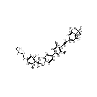 CCCCc1cc(F)c(C(F)(F)Oc2ccc(-c3cc(F)c(C#Cc4cc(F)c(C(F)(F)F)c(F)c4)c(F)c3)cc2)c(F)c1